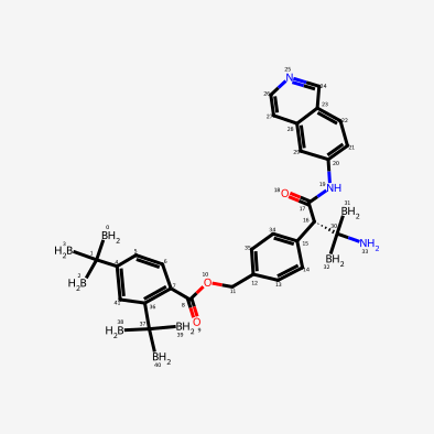 BC(B)(B)c1ccc(C(=O)OCc2ccc([C@H](C(=O)Nc3ccc4cnccc4c3)C(B)(B)N)cc2)c(C(B)(B)B)c1